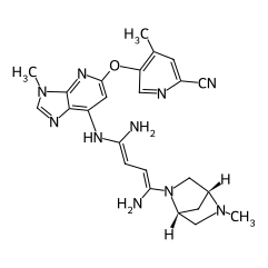 Cc1cc(C#N)ncc1Oc1cc(N/C(N)=C/C=C(\N)N2C[C@H]3C[C@@H]2CN3C)c2ncn(C)c2n1